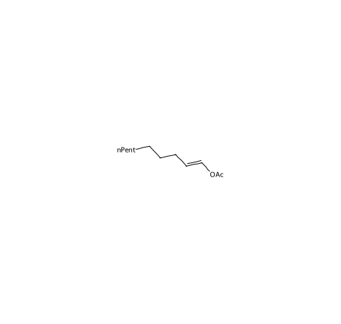 CCCCCCCCC=COC(C)=O